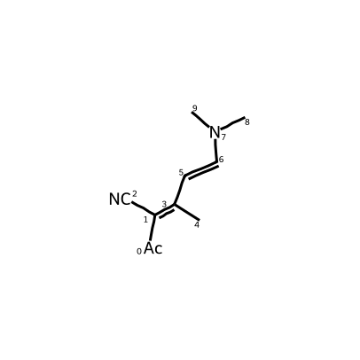 CC(=O)/C(C#N)=C(C)/C=C/N(C)C